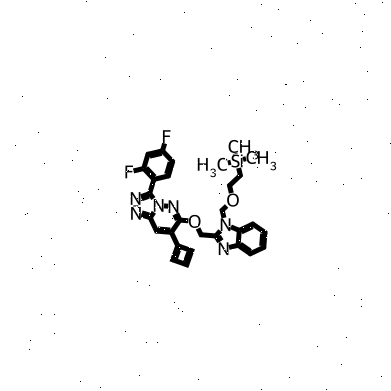 C[Si](C)(C)CCOCn1c(COc2nn3c(-c4ccc(F)cc4F)nnc3cc2C2=CC=C2)nc2ccccc21